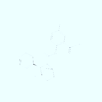 COC(=O)c1cc(Cl)ccc1NC(=O)[C@@H]1C2CC[C@H](O2)[C@H]1c1ccncc1